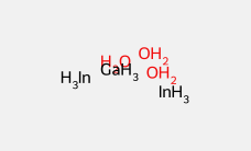 O.O.O.[GaH3].[InH3].[InH3]